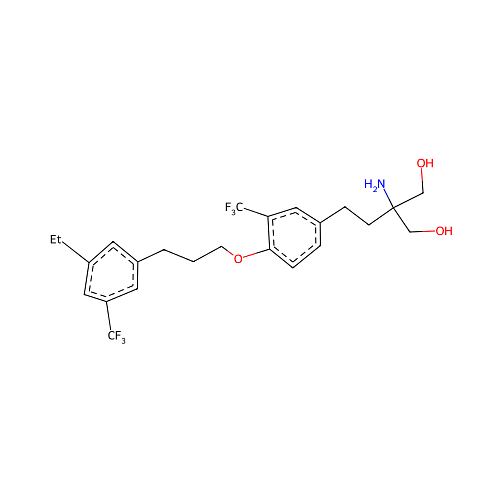 CCc1cc(CCCOc2ccc(CCC(N)(CO)CO)cc2C(F)(F)F)cc(C(F)(F)F)c1